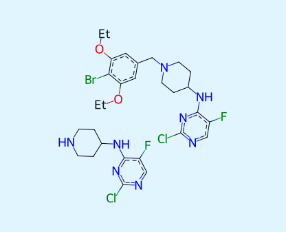 CCOc1cc(CN2CCC(Nc3nc(Cl)ncc3F)CC2)cc(OCC)c1Br.Fc1cnc(Cl)nc1NC1CCNCC1